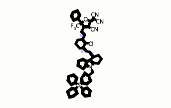 N#CC(C#N)=C1OC(c2ccccc2)(C(F)(F)F)C(/C=C/C2=C(Cl)C(=C\C=C3\CCCc4c3c3ccccc3n4Cc3ccc(S(c4ccccc4)(c4ccccc4)c4ccccc4)cc3)/CCC2)=C1C#N